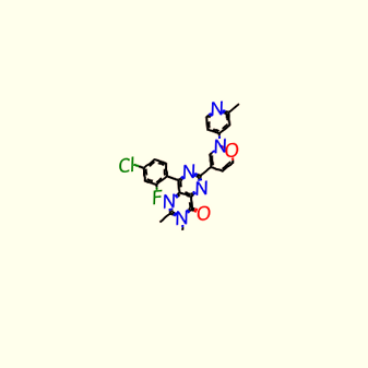 Cc1cc(N2C=C(c3nc(-c4ccc(Cl)cc4F)c4nc(C)n(C)c(=O)c4n3)C=CO2)ccn1